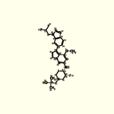 COc1nc(N[C@H]2CCN(CC(C)(C)O)C[C@H]2F)nn2ccc(-c3ccc4nnn(CC(F)F)c4c3)c12